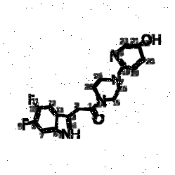 O=C(Cc1c[nH]c2cc(F)c(F)cc12)N1CCN(c2ccc(O)cn2)CC1